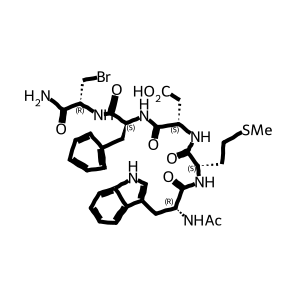 CSCC[C@H](NC(=O)[C@@H](Cc1c[nH]c2ccccc12)NC(C)=O)C(=O)N[C@@H](CC(=O)O)C(=O)N[C@@H](Cc1ccccc1)C(=O)N[C@@H](CBr)C(N)=O